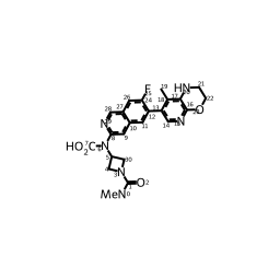 CNC(=O)N1CC(N(C(=O)O)c2cc3cc(-c4cnc5c(c4C)NCCO5)c(F)cc3cn2)C1